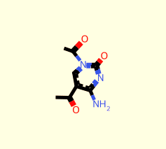 CC(=O)c1cn(C(C)=O)c(=O)nc1N